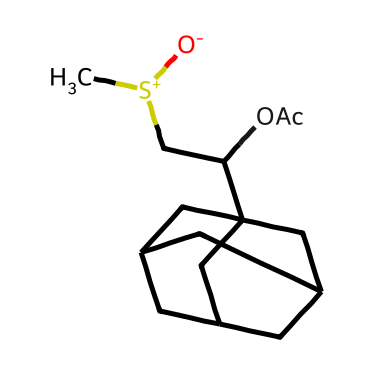 CC(=O)OC(C[S+](C)[O-])C12CC3CC(CC(C3)C1)C2